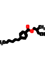 CCCCCCc1ccc(C(=O)OCC(C)CC)cc1